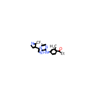 CCC(=O)c1ccc(Nc2nccn3c(C4=CCN=C4C(F)(F)F)cnc23)cc1C